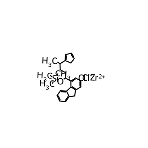 CC(CCC(O[Si](C)(C)C)c1cccc2c1-c1ccccc1C2)C1=CC=CC1.[Cl-].[Cl-].[Zr+2]